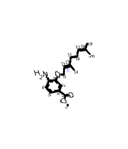 COC(=O)c1ccc(N)c(OC/C=C(\C)CCC=C(C)C)c1